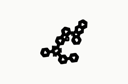 C1=Cc2c(c3cc4ccccc4cc3n2-c2cccc3c2oc2cc(-c4nc(-c5ccccc5)nc(-c5cccc(-c6ccccc6)c5)n4)ccc23)CC1